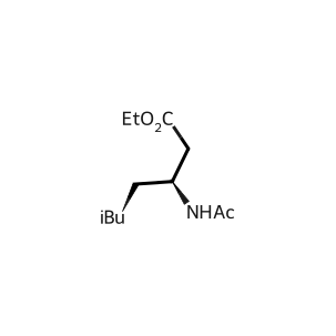 CCOC(=O)C[C@H](C[C@H](C)CC)NC(C)=O